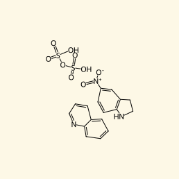 O=S(=O)(O)OS(=O)(=O)O.O=[N+]([O-])c1ccc2c(c1)CCN2.c1ccc2ncccc2c1